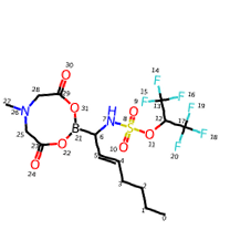 CCCC/C=C/C(NS(=O)(=O)OC(C(F)(F)F)C(F)(F)F)B1OC(=O)CN(C)CC(=O)O1